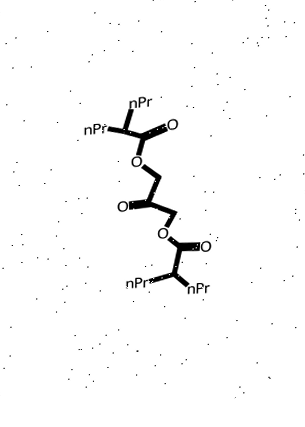 CCCC(CCC)C(=O)OCC(=O)COC(=O)C(CCC)CCC